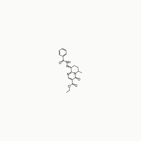 CCOC(=O)c1cnc2n(c1=O)C(C)CCC2=NNC(=O)c1ccccc1